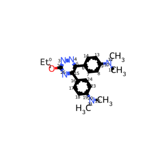 CCOc1nnc(-c2ccc(N(C)C)cc2)c(-c2ccc(N(C)C)cc2)n1